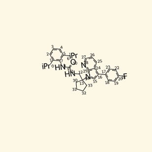 CC(C)c1cccc(C(C)C)c1NC(=O)NCC1(n2cc(-c3ccc(F)cc3)c3cccnc32)CCCC1